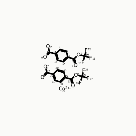 O=C([O-])c1ccc(C(=O)OC(F)(F)F)cc1.O=C([O-])c1ccc(C(=O)OC(F)(F)F)cc1.[Co+2]